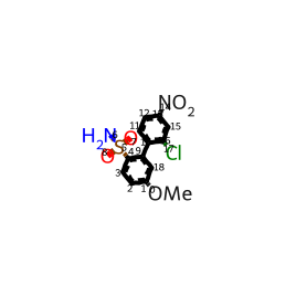 COc1ccc(S(N)(=O)=O)c(-c2ccc([N+](=O)[O-])cc2Cl)c1